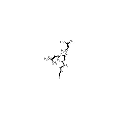 CC(C)=C[SiH2]OC(CO[SiH2]CCCI)O[SiH2]C=C(C)C